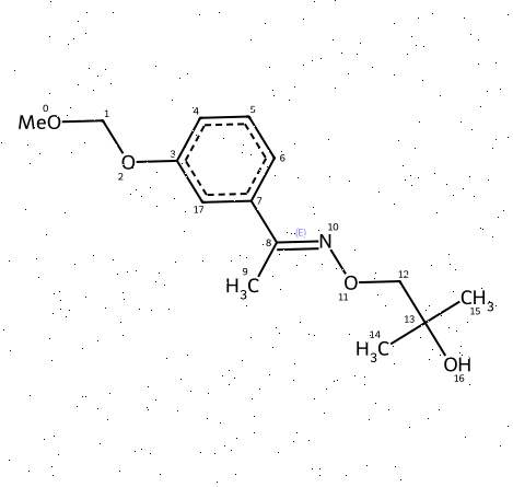 COCOc1cccc(/C(C)=N/OCC(C)(C)O)c1